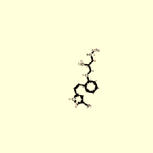 CC(C)c1cc(/C=C\c2ccccc2OCC(O)CNC(C)(C)C)on1